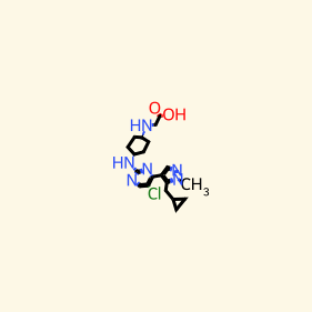 Cn1ncc(-c2nc(N[C@H]3CC[C@H](NCC(=O)O)CC3)ncc2Cl)c1CC1CC1